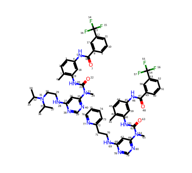 Cc1ccc(NC(=O)c2cccc(C(F)(F)F)c2)cc1NC(=O)N(C)c1cc(NCCN(C(C)C)C(C)C)ncn1.Cc1ccc(NC(=O)c2cccc(C(F)(F)F)c2)cc1NC(=O)N(C)c1cc(NCCc2ccccn2)ncn1